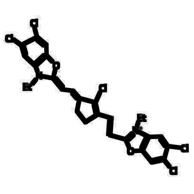 CCN1/C(=C/C=C2\CCC(/C=C/c3oc4cc(Cl)c(Cl)cc4[n+]3CC)=C2Cl)Oc2cc(Cl)c(Cl)cc21